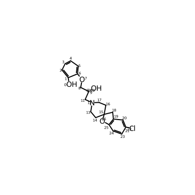 Oc1ccccc1OC[C@H](O)CN1CCC2(CC1)Cc1cc(Cl)ccc1O2